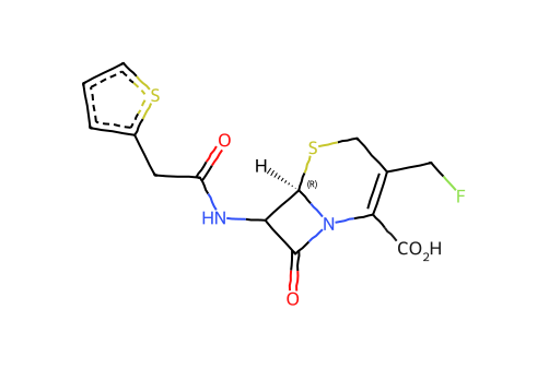 O=C(Cc1cccs1)NC1C(=O)N2C(C(=O)O)=C(CF)CS[C@H]12